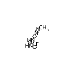 CCN1CCN(c2ccc(NC=C3C(=O)Nc4cccc(F)c43)cc2)CC1